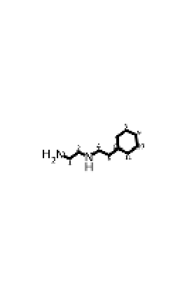 NCCNCCC1CCCCC1